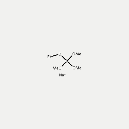 CCO[B-](OC)(OC)OC.[Na+]